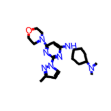 Cc1ccn(-c2nc(NC3CCC(N(C)C)CC3)cc(N3CCOCC3)n2)n1